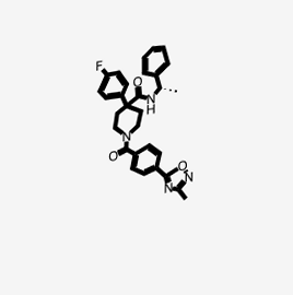 Cc1noc(-c2ccc(C(=O)N3CCC(C(=O)N[C@@H](C)c4ccccc4)(c4ccc(F)cc4)CC3)cc2)n1